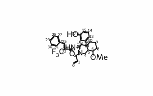 C=CCN1CC2C(OC)CCC[C@@]2(c2cccc(O)c2)C[C@H]1NC(=O)C(=Cc1ccccc1)C(F)(F)F